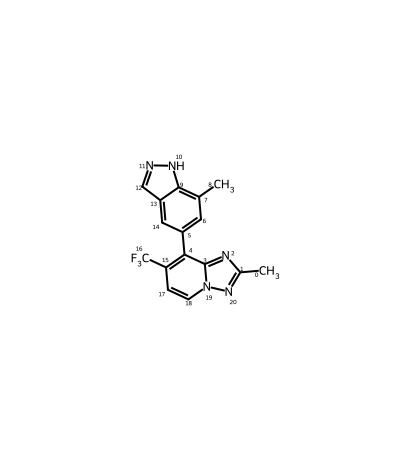 Cc1nc2c(-c3cc(C)c4[nH]ncc4c3)c(C(F)(F)F)ccn2n1